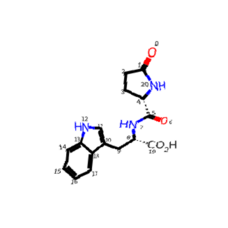 O=C1CC[C@@H](C(=O)N[C@@H](Cc2c[nH]c3ccccc23)C(=O)O)N1